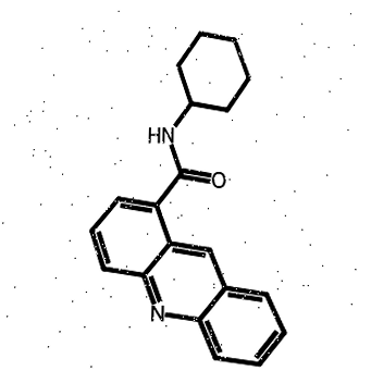 O=C(NC1CCCCC1)c1cccc2nc3ccccc3cc12